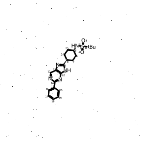 CC(C)(C)S(=O)(=O)N[C@H]1CC[C@@H](c2nc3cnc(-c4ccccc4)nc3[nH]2)CC1